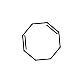 [CH]1/C=C\CCC/C=C\1